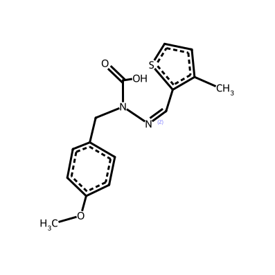 COc1ccc(CN(/N=C\c2sccc2C)C(=O)O)cc1